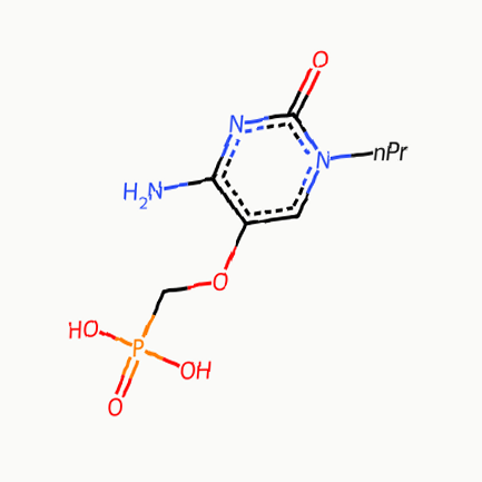 CCCn1cc(OCP(=O)(O)O)c(N)nc1=O